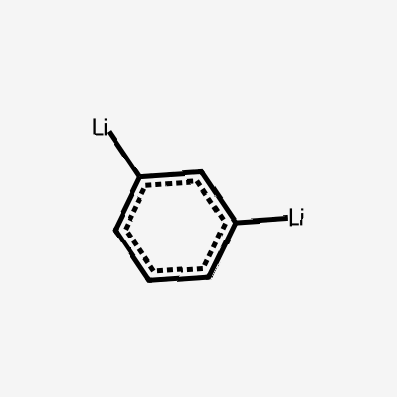 [Li][c]1ccc[c]([Li])c1